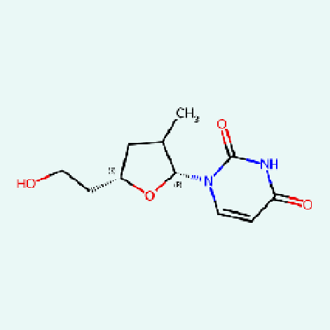 CC1C[C@@H](CCO)O[C@H]1n1ccc(=O)[nH]c1=O